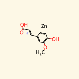 COc1cc(/C=C/C(=O)O)ccc1O.[Zn]